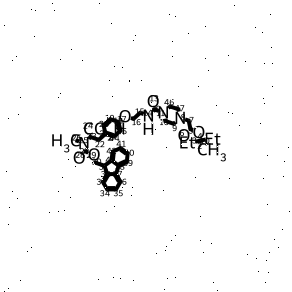 CCC(C)(CC)OC(=O)CN1CCN(C(=O)NCCOc2ccc(C[C@H](C(=O)O)N(C)C(=O)OCC3c4ccccc4-c4ccccc43)cc2)CC1